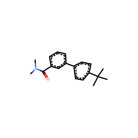 CN(C)C(=O)c1cccc(-c2ccc(C(C)(C)C)cc2)c1